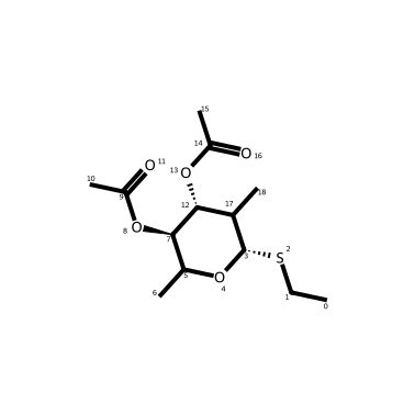 CCS[C@@H]1OC(C)[C@@H](OC(C)=O)[C@H](OC(C)=O)C1C